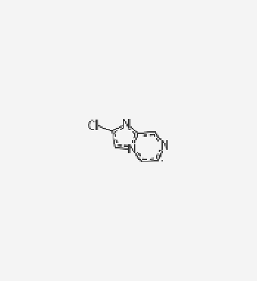 Clc1cn2c[c]ncc2n1